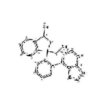 NCC1(c2ccccc2-c2ncnc3[nH]ccc23)CC(O)c2ccccc21